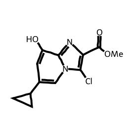 COC(=O)c1nc2c(O)cc(C3CC3)cn2c1Cl